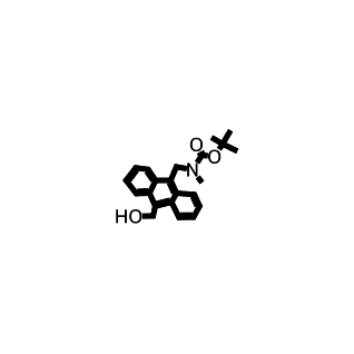 CN(Cc1c2ccccc2c(CO)c2ccccc12)C(=O)OC(C)(C)C